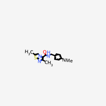 CNc1ccc(CNC(=O)c2c(C)nc3sc(C)cn23)cc1